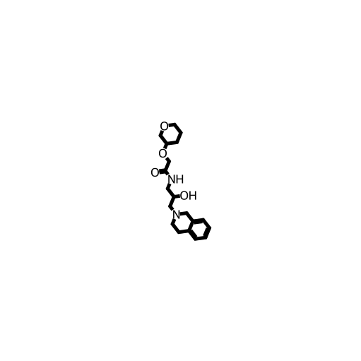 O=C(COC1CCCOC1)NCC(O)CN1CCc2ccccc2C1